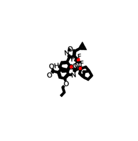 CCCOc1cc(C(=O)O)cc2sc(OC3C4CCC3CC(OCc3c(-c5ccccc5OC(F)(F)F)noc3C3CC3)C4)nc12